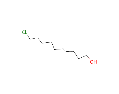 OCCCCCCCCCCCl